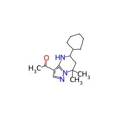 CC(=O)c1cnn2c1NC(C1CCCCC1)CC2(C)C